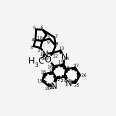 CN1C2CC3CC4CC(CC32C4)C12C=Nc1c(c3cccnc3c3ncccc13)O2